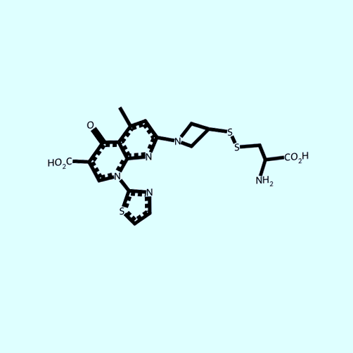 Cc1cc(N2CC(SSCC(N)C(=O)O)C2)nc2c1c(=O)c(C(=O)O)cn2-c1nccs1